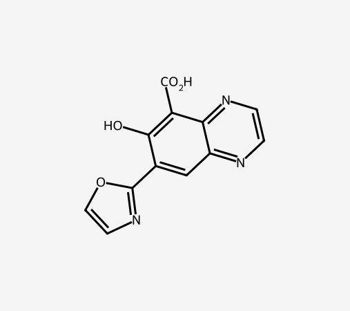 O=C(O)c1c(O)c(-c2ncco2)cc2nccnc12